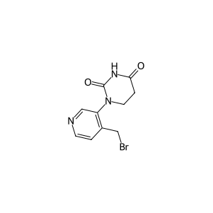 O=C1CCN(c2cnccc2CBr)C(=O)N1